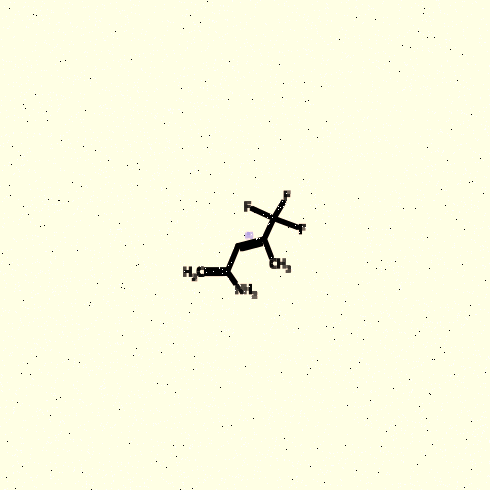 C=C(N)/C=C(\C)C(F)(F)F